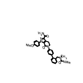 CNC(=O)N(C)Cc1ccccc1-c1ccc(N2CCc3c(C(N)=O)nn(-c4ccc(OC)cc4)c3C2=O)cc1